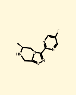 C[C@H]1Cn2c(nnc2-c2ncc(F)cn2)CN1